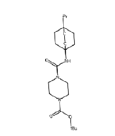 CC(C)C12CCC(NC(=O)N3CCN(C(=O)OC(C)(C)C)CC3)(CC1)CC2